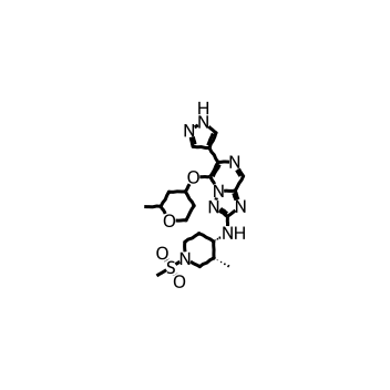 CC1CC(Oc2c(-c3cn[nH]c3)ncc3nc(N[C@H]4CCN(S(C)(=O)=O)C[C@H]4C)nn23)CCO1